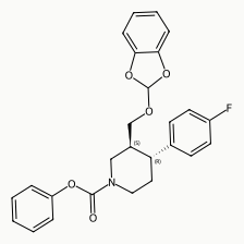 O=C(Oc1ccccc1)N1CC[C@@H](c2ccc(F)cc2)[C@H](COC2Oc3ccccc3O2)C1